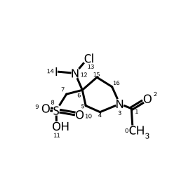 CC(=O)N1CCC(CS(=O)(=O)O)(N(Cl)I)CC1